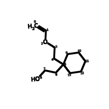 C=COCCC1(CCO)CCCCC1